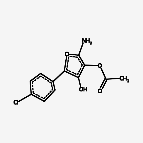 CC(=O)Oc1c(N)oc(-c2ccc(Cl)cc2)c1O